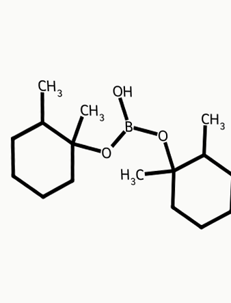 CC1CCCCC1(C)OB(O)OC1(C)CCCCC1C